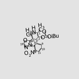 CC1=C(OC(=O)OCC(C)C)C(c2cccc([N+](=O)[O-])c2)C(c2nnco2)=C(C)N1